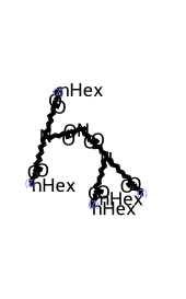 CCCCCC/C=C\COC(=O)CCCCCCCN(CCCCCCCC(=O)OC/C=C\CCCCCC)CCCCC(=O)OCCN(C)CCOC(=O)CCCCN(CCCCCCCC(=O)OC/C=C\CCCCCC)CCCCCCCC(=O)OC/C=C\CCCCCC